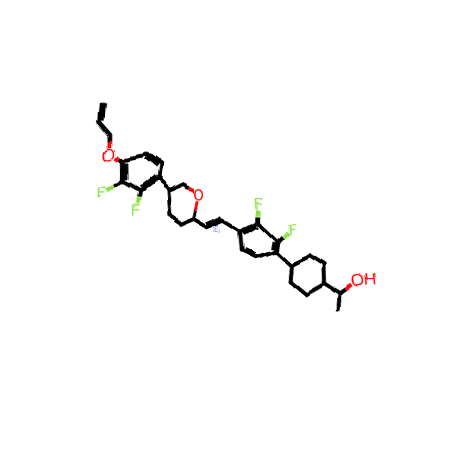 C=CCOc1ccc(C2CCC(/C=C/c3ccc(C4CCC(C(C)O)CC4)c(F)c3F)OC2)c(F)c1F